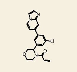 C=CC(=O)N1CCOCC1c1cc(Cl)cc(-c2ccn3ccnc3c2)c1